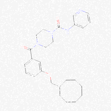 O=C(Nc1cccnc1)N1CCN(C(=O)c2cccc(OCC3CCCCCCC3)c2)CC1